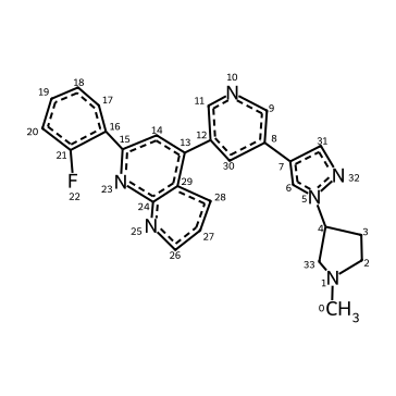 CN1CCC(n2cc(-c3cncc(-c4cc(-c5ccccc5F)nc5ncccc45)c3)cn2)C1